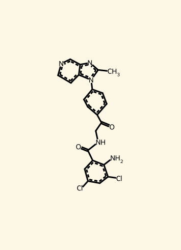 Cc1nc2cnccc2n1-c1ccc(C(=O)CNC(=O)c2cc(Cl)cc(Cl)c2N)cc1